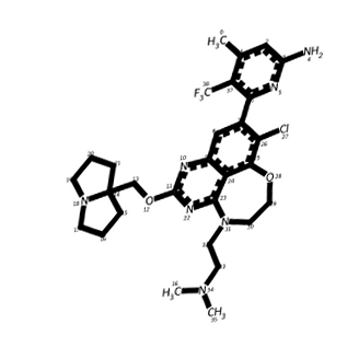 Cc1cc(N)nc(-c2cc3nc(OCC45CCCN4CCC5)nc4c3c(c2Cl)OCCN4CCN(C)C)c1C(F)(F)F